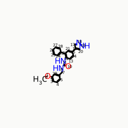 COc1cccc(CNC(=O)Nc2ccc(-c3cn[nH]c3)cc2-c2ccccc2)c1